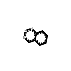 [c]1nnnc2ccccc12